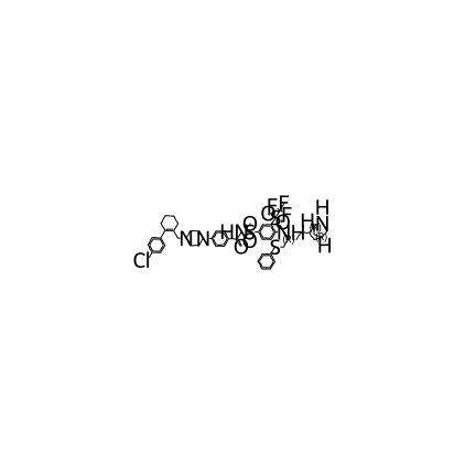 O=C(NS(=O)(=O)c1ccc(N[C@H](CCC2C[C@H]3CN[C@@H]2C3)CSc2ccccc2)c(S(=O)(=O)C(F)(F)F)c1)c1ccc(N2CCN(CC3=C(c4ccc(Cl)cc4)CCCC3)CC2)cc1